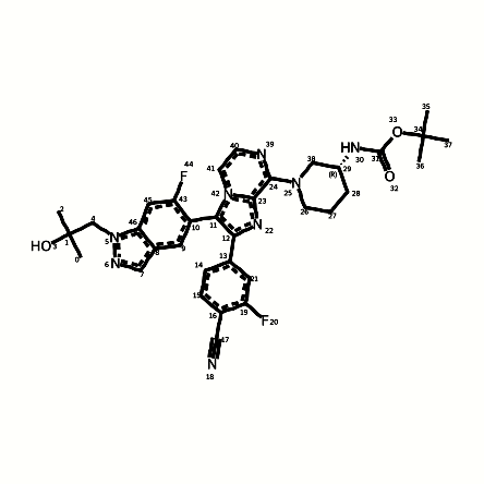 CC(C)(O)Cn1ncc2cc(-c3c(-c4ccc(C#N)c(F)c4)nc4c(N5CCC[C@@H](NC(=O)OC(C)(C)C)C5)nccn34)c(F)cc21